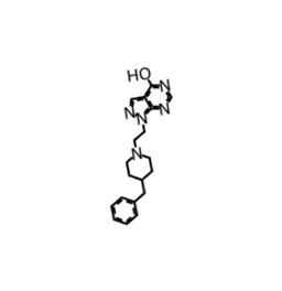 Oc1ncnc2c1cnn2CCN1CCC(Cc2ccccc2)CC1